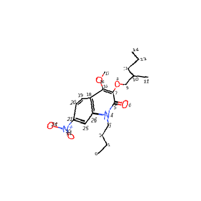 CCCCn1c(=O)c(OCC(C)CCC)c(OC)c2ccc([N+](=O)[O-])cc21